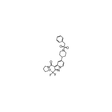 O=C(c1c(C(F)(F)F)nn2ccc(C3CCN(S(=O)(=O)Cc4ccccc4)CC3)cc12)N1CCCC1